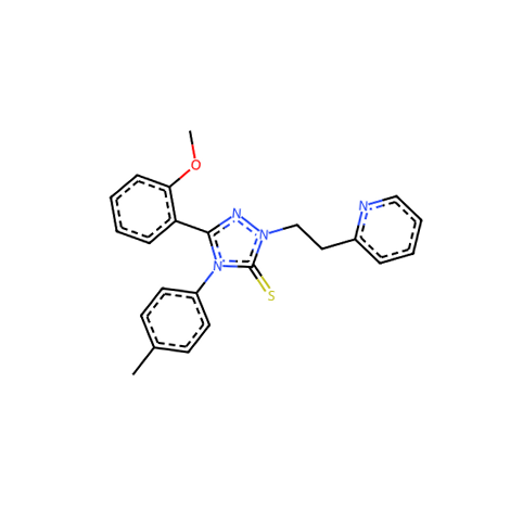 COc1ccccc1-c1nn(CCc2ccccn2)c(=S)n1-c1ccc(C)cc1